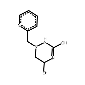 CCC1CN(Cc2ccccn2)NC(O)=N1